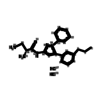 CCCc1cccc(-c2cc(NC(=O)[C@H](N)CN)nn2-c2ccccc2)c1.Cl.Cl